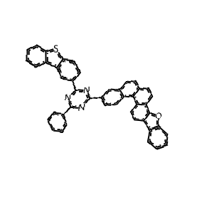 c1ccc(-c2nc(-c3ccc4c(ccc5ccc6c(ccc7c8ccccc8oc76)c54)c3)nc(-c3ccc4sc5ccccc5c4c3)n2)cc1